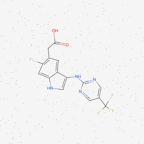 O=C(O)Cc1cc2c(Nc3ncc(C(F)(F)F)cn3)c[nH]c2cc1F